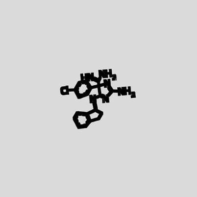 N=C(N)C1(c2ccc(Cl)cc2)N=C(N)N=C1N=C1CCc2ccccc21